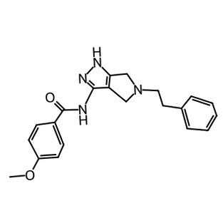 COc1ccc(C(=O)Nc2n[nH]c3c2CN(CCc2ccccc2)C3)cc1